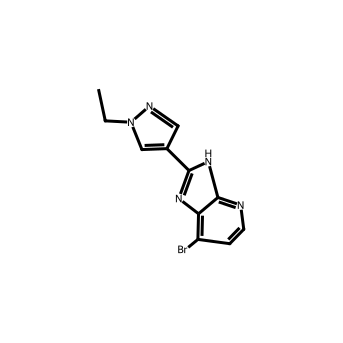 CCn1cc(-c2nc3c(Br)ccnc3[nH]2)cn1